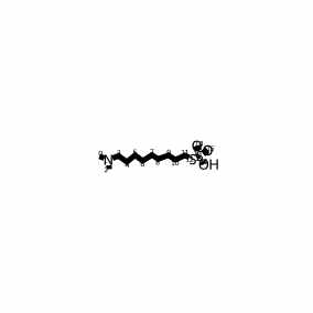 CN(C)CCCCCCCCCSS(=O)(=O)O